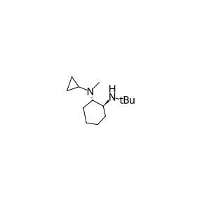 CN(C1CC1)[C@H]1CCCC[C@@H]1NC(C)(C)C